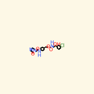 O=C(Cn1ccncc1=O)Nc1ccc(CCOC(=O)NC[C@H](O)c2cccc(Cl)c2)cc1